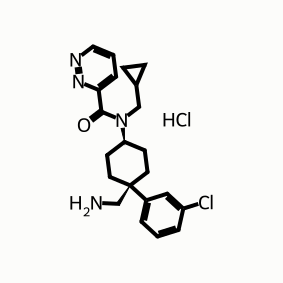 Cl.NC[C@]1(c2cccc(Cl)c2)CC[C@H](N(CC2CC2)C(=O)c2cccnn2)CC1